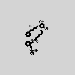 O=C(CCC/C=C\C[C@@H]1[C@@H](CC[C@@H](O)CCc2ccccc2)[C@H](O)C[C@@H]1O)NCc1ccccc1CON(O)O